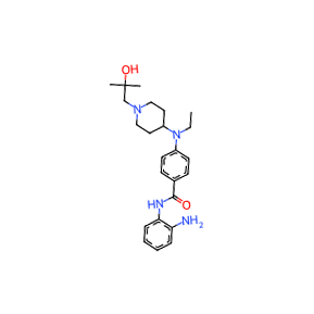 CCN(c1ccc(C(=O)Nc2ccccc2N)cc1)C1CCN(CC(C)(C)O)CC1